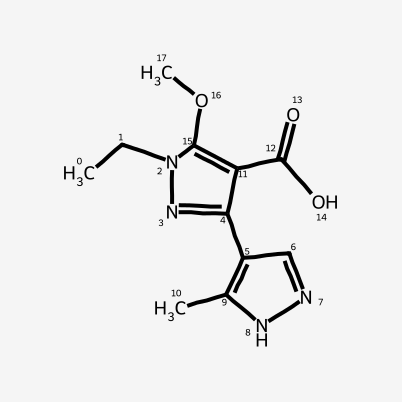 CCn1nc(-c2cn[nH]c2C)c(C(=O)O)c1OC